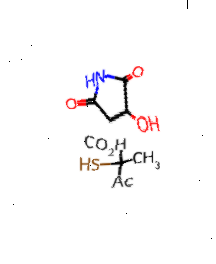 CC(=O)C(C)(S)C(=O)O.O=C1CC(O)C(=O)N1